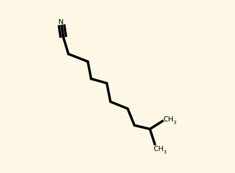 CC(C)CCCCCCCC#N